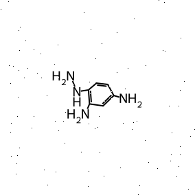 NNc1ccc(N)cc1N